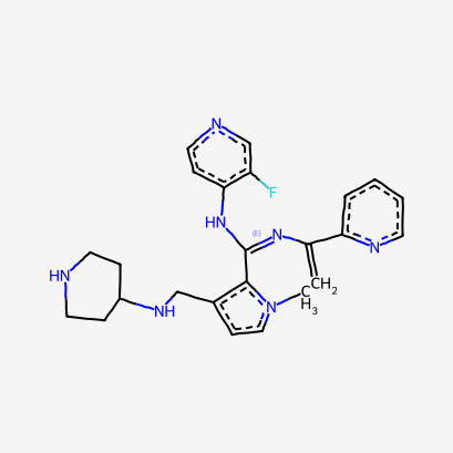 C=C(/N=C(/Nc1ccncc1F)c1c(CNC2CCNCC2)ccn1C)c1ccccn1